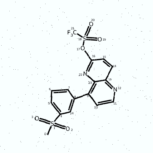 CS(=O)(=O)c1cccc(-c2ccnc3ccc(OS(=O)(=O)C(F)(F)F)nc23)c1